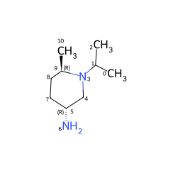 CC(C)N1C[C@H](N)CC[C@H]1C